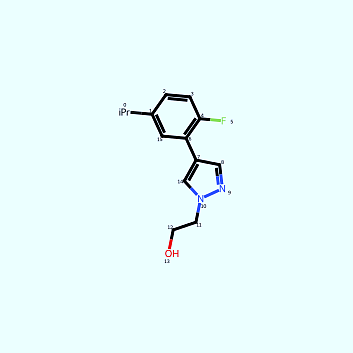 CC(C)c1ccc(F)c(-c2cnn(CCO)c2)c1